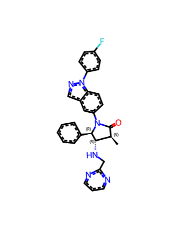 C[C@@H]1C(=O)N(c2ccc3c(cnn3-c3ccc(F)cc3)c2)[C@H](c2ccccc2)[C@H]1NCc1ncccn1